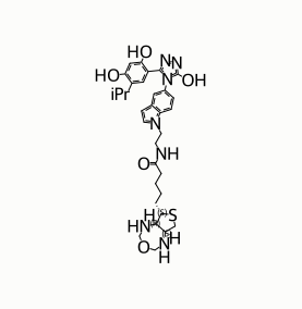 CC(C)c1cc(-c2nnc(O)n2-c2ccc3c(ccn3CCNC(=O)CCCC[C@@H]3SC[C@H]4NCOCN[C@@H]34)c2)c(O)cc1O